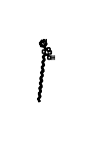 CCCCCC=CCC=CCC=CCCCCCC(OC(=O)c1cccnc1)C(=O)O